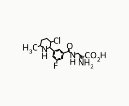 CC1CCC(Cl)C(c2cc(F)cc(C(=O)NC[C@@H](N)C(=O)O)c2)N1